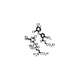 CCNc1nc(Cl)nc(NC(C)(C)C)n1.CCOC(=O)COC(=O)c1cc(Oc2ccc(C(F)(F)F)cc2Cl)ccc1[N+](=O)[O-].CP(=O)(O)CCC(N)C(=O)O